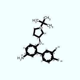 CC(C)(C)N1CC[C@H](Oc2ccc(N)cc2-c2ccc(F)c(F)c2)C1